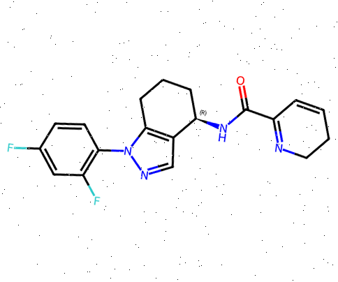 O=C(N[C@@H]1CCCc2c1cnn2-c1ccc(F)cc1F)C1=NCCC=C1